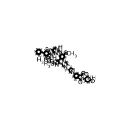 COc1cc(N2CCN(C[C@@H]3CCN(c4ccc5c(c4)C(=O)N(C4CCC(=O)NC4=O)C5=O)C3)CC2)c(-c2cnn(C)c2)cc1Nc1ncc(Br)c(Nc2ccc(-c3ccccc3)cc2P(C)(C)=O)n1